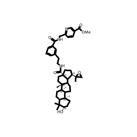 COC(=O)c1ccc(CNC(=O)c2cccc(CCNC(=O)[C@]34CC[C@@H](C5(C)CO5)C3C3CCC5[C@@]6(C)CC[C@H](O)C(C)(C)C6CC[C@@]5(C)[C@]3(C)CC4)c2)nc1